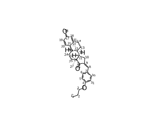 CCCOc1ccc(C=C2C[C@H]3[C@@H]4CCC5=CC(=O)C=C[C@]5(C)[C@H]4CC[C@]3(C)C2=O)cc1